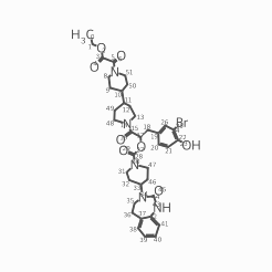 CCOC(=O)C(=O)N1CCC(C2CCN(C(=O)[C@@H](Cc3ccc(O)c(Br)c3)OC(=O)N3CCC(N4CCc5ccccc5NC4=O)CC3)CC2)CC1